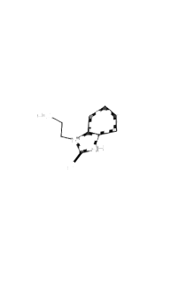 O=c1[nH]c2c[c]ccc2n1CCO